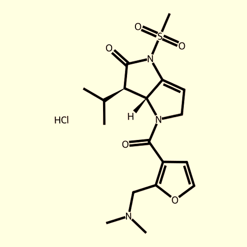 CC(C)[C@H]1C(=O)N(S(C)(=O)=O)C2=CCN(C(=O)c3ccoc3CN(C)C)[C@@H]21.Cl